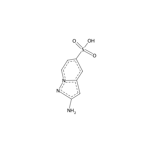 Nc1cc2cc(S(=O)(=O)O)ccn2n1